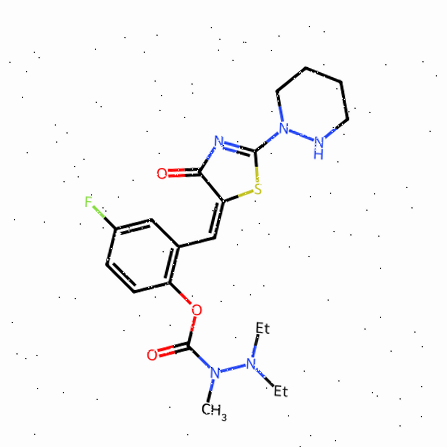 CCN(CC)N(C)C(=O)Oc1ccc(F)cc1/C=C1/SC(N2CCCCN2)=NC1=O